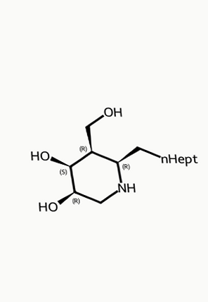 CCCCCCCC[C@H]1NC[C@@H](O)[C@@H](O)[C@H]1CO